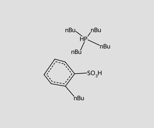 CCCC[PH](CCCC)(CCCC)CCCC.CCCCc1ccccc1S(=O)(=O)O